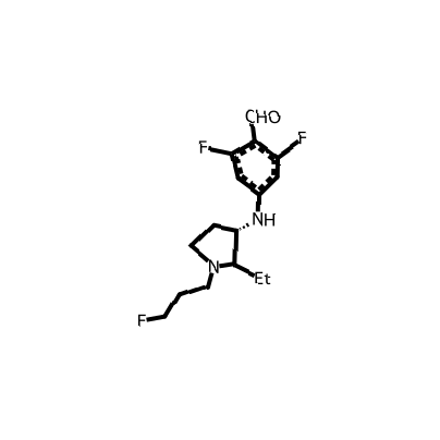 CCC1[C@@H](Nc2cc(F)c(C=O)c(F)c2)CCN1CCCF